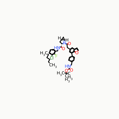 CC(C)(C)OC(=O)NCc1ccc(-c2cc(CC(=O)N3[C@@H]4C[C@@H]4C[C@H]3C(=O)NCc3cccc(Cl)c3F)cc3ccoc23)cc1.CCCCCC